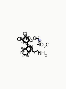 NCCn1nc(-c2ccc(Cl)c(Cl)c2)c2cnccc21.O=C(O)/C=C\C(=O)O